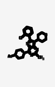 CC(=O)N1CCN(c2nc(C)nc3c2nc(-c2ccccc2Cl)n3C2CCOCC2)CC1